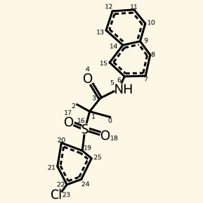 CC(C)(C(=O)Nc1ccc2ccccc2c1)S(=O)(=O)c1ccc(Cl)cc1